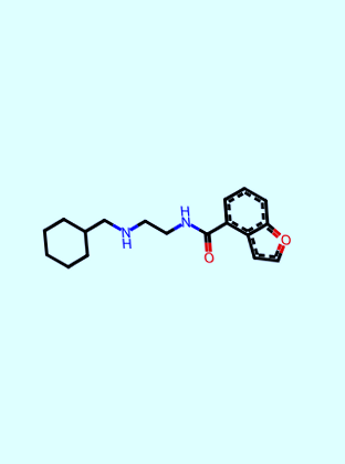 O=C(NCCNCC1CCCCC1)c1cccc2occc12